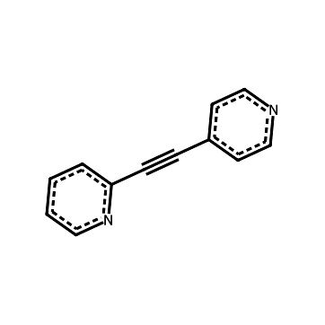 C(#Cc1ccccn1)c1ccncc1